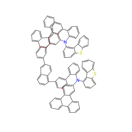 c1ccc(-c2cc(-c3cccc(-c4ccc5c(-c6cccc(-c7ccccc7N(c7ccc8c9ccccc9c9ccccc9c8c7)c7cccc8sc9ccccc9c78)c6)cccc5c4)c3)cc(N(c3ccccc3-c3cccc(-c4cccc5ccccc45)c3)c3cccc4sc5ccccc5c34)c2)cc1